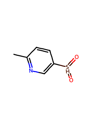 Cc1ccc([SH](=O)=O)cn1